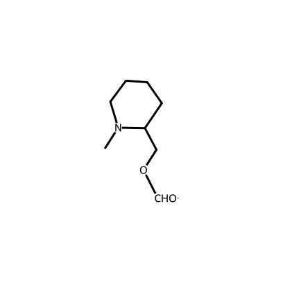 CN1CCCCC1CO[C]=O